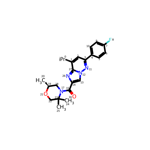 CC(C)c1cc(-c2ccc(F)cc2)nn2cc(C(=O)N3C[C@H](C)OCC3(C)C)nc12